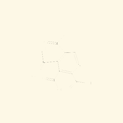 O=C(O)c1cnc(C(=O)O)c(C(=O)O)c1C(=O)O.[Co]